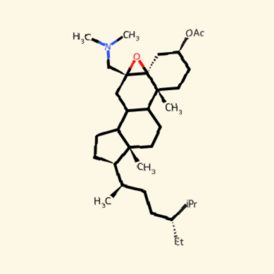 CC[C@H](CC[C@@H](C)[C@H]1CCC2C3C[C@]4(CN(C)C)O[C@]45C[C@@H](OC(C)=O)CC[C@]5(C)C3CC[C@@]21C)C(C)C